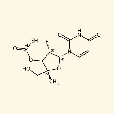 C[C@]1(CO)O[C@@H](n2ccc(=O)[nH]c2=O)[C@@H](F)C1O[PH](=O)S